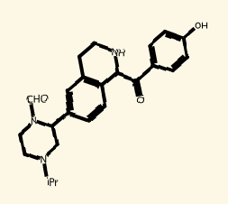 CC(C)N1CCN(C=O)C(c2ccc3c(c2)CCNC3C(=O)c2ccc(O)cc2)C1